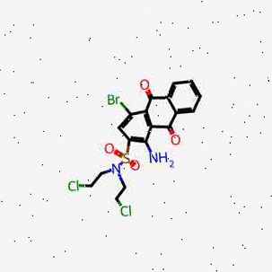 Nc1c(S(=O)(=O)N(CCCl)CCCl)cc(Br)c2c1C(=O)c1ccccc1C2=O